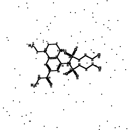 CCN1CCNc2c1cc(C(=O)OC)cc2[As](S(=O)(=O)CCCCl)S(=O)(=O)CCCCl